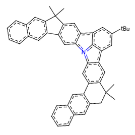 CC(C)(C)c1cc2c3cc4c(cc3n3c5cc6c(cc5c(c1)c23)C(C)(C)c1cc2ccccc2cc1-6)-c1cc2ccccc2cc1CC4(C)C